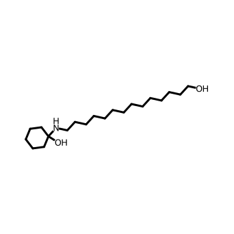 OCCCCCCCCCCCCCCNC1(O)CCCCC1